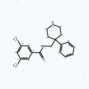 O=C(NCC1(c2ccccc2)CCNCC1)c1cc(C(F)(F)F)cc(C(F)(F)F)c1